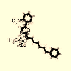 CC(C)(C)[Si](C)(C)OC(CCCCCCc1ccccc1)c1ncc(-c2ccccc2[N+](=O)[O-])o1